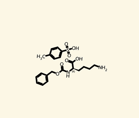 Cc1ccc(S(=O)(=O)O)cc1.NCCCC[C@@H](NC(=O)OCc1ccccc1)C(=O)O